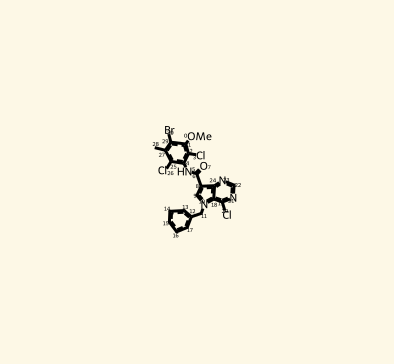 COc1c(Cl)c(NC(=O)c2cn(Cc3ccccc3)c3c(Cl)ncnc23)c(Cl)c(C)c1Br